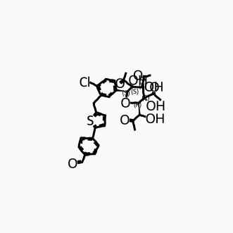 CC(=O)C(O)[C@H]1O[C@@H](c2ccc(Cl)c(Cc3ccc(-c4ccc(C=O)cc4)s3)c2)[C@@](O)(C(C)=O)[C@](O)(C(C)=O)[C@@]1(O)C(C)=O